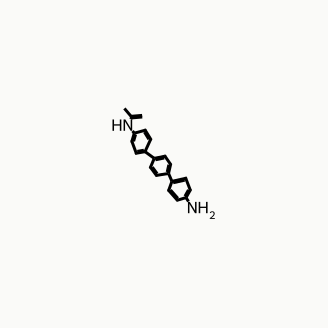 C=C(C)Nc1ccc(-c2ccc(-c3ccc(N)cc3)cc2)cc1